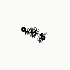 O=C(Cc1ccccc1)NC1C(=O)N2C(C(=O)O)=C(COc3c[nH]c4ccc(Br)c(Cl)c34)CS(=O)(=O)C12